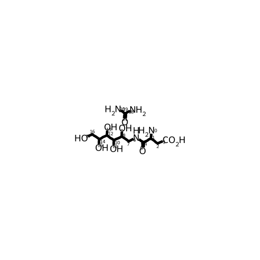 NC(CC(=O)O)C(=O)NCC(O)C(O)C(O)C(O)CO.NC(N)=O